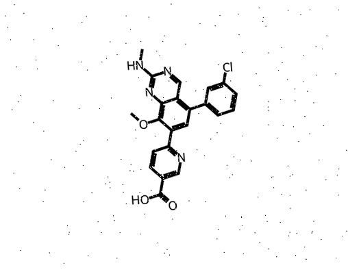 CNc1ncc2c(-c3cccc(Cl)c3)cc(-c3ccc(C(=O)O)cn3)c(OC)c2n1